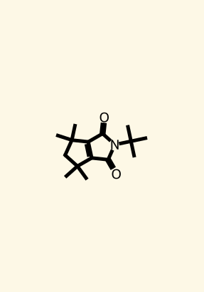 CC1(C)CC(C)(C)C2=C1C(=O)N(C(C)(C)C)C2=O